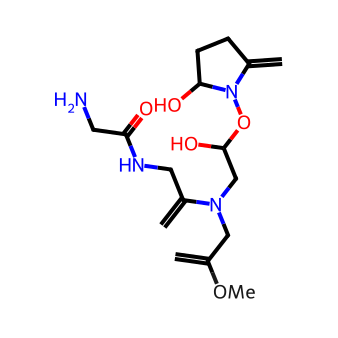 C=C(CN(CC(O)ON1C(=C)CCC1O)C(=C)CNC(=O)CN)OC